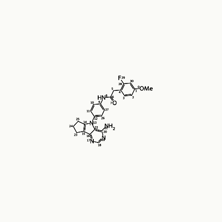 COc1ccc(CC(=O)Nc2ccc(-n3c4c(c5ncnc(N)c53)CCC4)cc2)c(F)c1